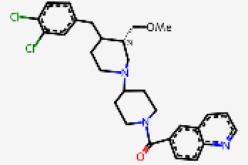 COC[C@@H]1CN(C2CCN(C(=O)c3ccc4ncccc4c3)CC2)CCC1Cc1ccc(Cl)c(Cl)c1